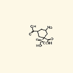 O=C(O)C1C[CH]([Na])CC(C(=O)O)(S(=O)(=O)O)C1